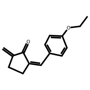 C=C1CCC(=Cc2ccc(OCC)cc2)C1=O